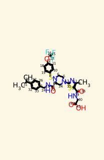 Cc1nc(N2CCN(Sc3ccc(OC(F)(F)F)cc3)[C@@H](C(=O)NCc3ccc(C(C)C)cc3)C2)sc1C(=O)NCC(=O)O